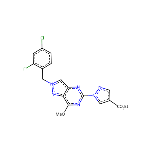 CCOC(=O)c1cnn(-c2nc(OC)c3nn(Cc4ccc(Cl)cc4F)cc3n2)c1